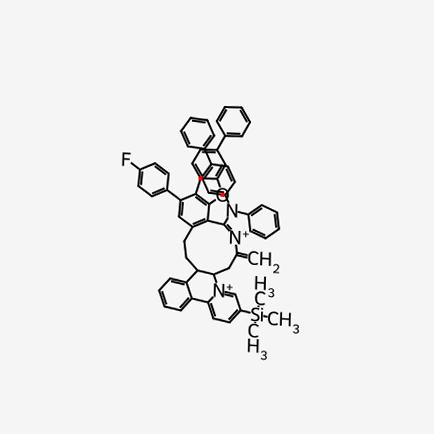 C=C1CC2C(CCc3cc(-c4ccc(F)cc4)c4c(oc5cc(-c6ccccc6)ccc54)c3-c3n(-c4ccc(-c5ccccc5)cc4)c4ccccc4[n+]31)c1ccccc1-c1ccc([Si](C)(C)C)c[n+]12